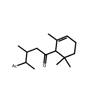 CC(=O)C(C)C(C)CC(=O)C1C(C)=CCCC1(C)C